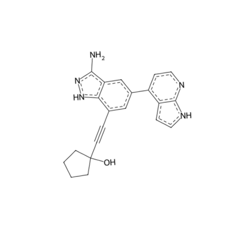 Nc1n[nH]c2c(C#CC3(O)CCCC3)cc(-c3ccnc4[nH]ccc34)cc12